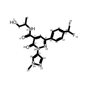 CC(CO)NC(=O)c1cc(-c2ccc(C(F)F)cc2)nn(-c2cnn(C)c2)c1=O